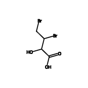 O=C(O)C(O)C(Br)CBr